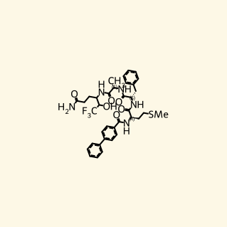 CSCC[C@@H](NC(=O)c1ccc(-c2ccccc2)cc1)C(=O)N[C@@H](Cc1ccccc1)C(=O)N[C@@H](C)C(=O)NC(CCC(N)=O)C(O)C(F)(F)F